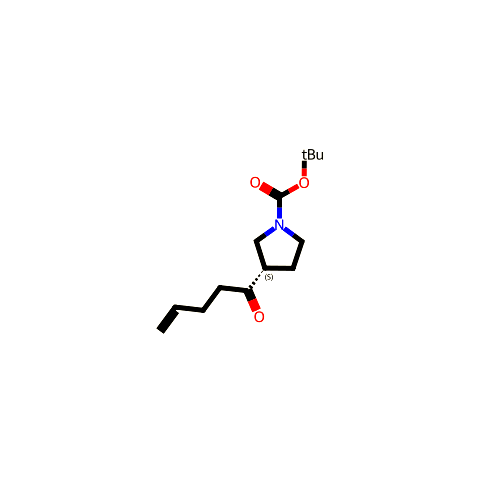 C=CCCC(=O)[C@H]1CCN(C(=O)OC(C)(C)C)C1